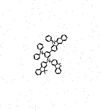 CC1(C)c2ccccc2-c2ccc(N(c3cc(-c4ccc5c6cc7ccccc7cc6n(-c6ccccc6)c5c4)cc(N(c4ccccc4)c4ccccc4)c3)c3ccc4sc5ccccc5c4c3)cc21